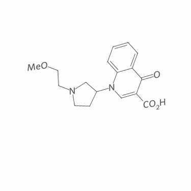 COCCN1CCC(n2cc(C(=O)O)c(=O)c3ccccc32)C1